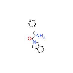 N[C@H](CCc1ccccc1)C(=O)N1CCc2ccccc2C1